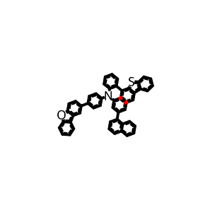 c1cc(-c2cccc3ccccc23)cc(N(c2ccc(-c3ccc4oc5ccccc5c4c3)cc2)c2ccccc2-c2cccc3c2sc2ccccc23)c1